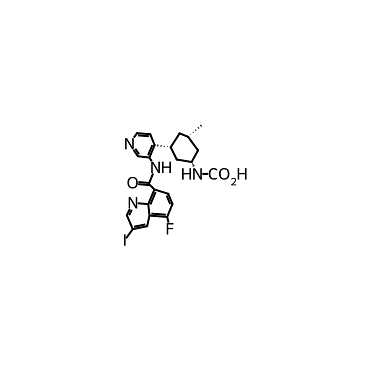 C[C@@H]1C[C@H](NC(=O)O)C[C@H](c2ccncc2NC(=O)c2ccc(F)c3cc(I)cnc23)C1